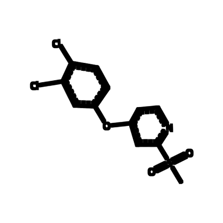 CS(=O)(=O)c1cc(Oc2ccc(Cl)c(Cl)c2)ccn1